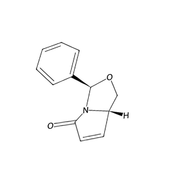 O=C1C=C[C@H]2CO[C@H](c3ccccc3)N12